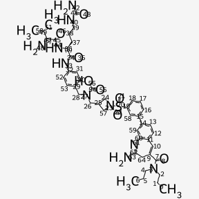 CCCN(CCC)C(=O)C1=Cc2ccc(-c3cccc(S(=O)(=O)N4CC(CN(Cc5ccc(NC(=O)[C@H](CCCNC(N)=O)NC(=O)[C@@H](N)C(C)C)cc5)C(=O)O)C4)c3)cc2N=C(N)C1